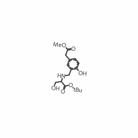 COC(=O)Cc1ccc(O)c(CNC(CO)C(=O)OC(C)(C)C)c1